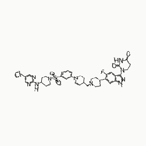 Cn1nc(N2CCC(=O)NC2=O)c2cc(F)c(C3CCN(CC4CCN(c5cccc(S(=O)(=O)N6CCC(Nc7ncc(Cl)cn7)CC6)c5)CC4)CC3)cc21